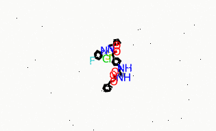 C[C@H](NC(=O)OCc1ccccc1)C(=O)Nc1ccc(C2S/C(=N\c3ccc(F)cc3Cl)N(Cc3ccco3)C2=O)cc1